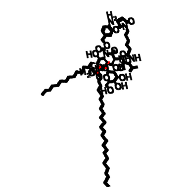 CCCCCCCCCCCCCCCCCCCCCCCCCC(=O)O[C@H](CCCCCCCCCCCCCC)[C@@H](O)[C@H](CO[C@H]1O[C@H](CO)[C@H](O)[C@H](O)[C@H]1O)N(C(=O)OCc1ccc(N)cc1)C(=O)[C@H](CCCNC(N)=O)NC(=O)[C@@H](NC(=O)CCCCCN1C(=O)C=CC1=O)C(C)C